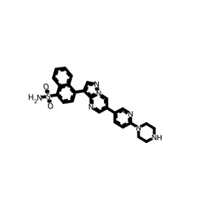 NS(=O)(=O)c1ccc(-c2cnn3cc(-c4ccc(N5CCNCC5)nc4)cnc23)c2ccccc12